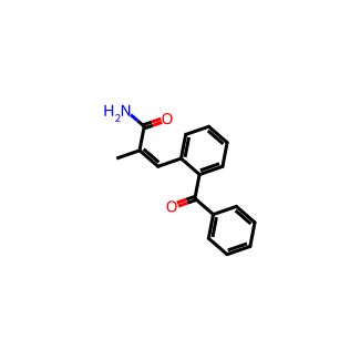 CC(=Cc1ccccc1C(=O)c1ccccc1)C(N)=O